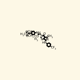 Cc1cc(C(C)(C)S(C)(=O)=O)ccc1NC(=O)Cn1cnc2c(Nc3ccc(C(F)(F)F)cc3)nn(C)c2c1=O